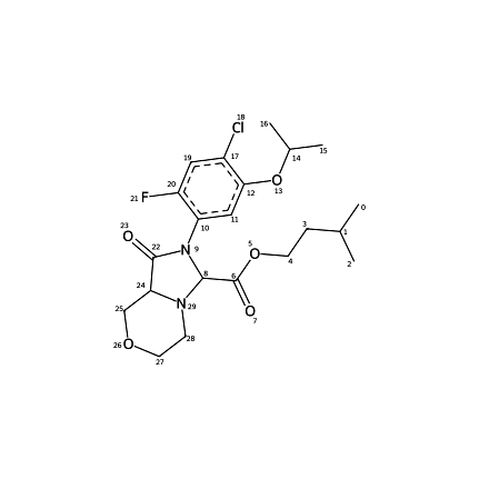 CC(C)CCOC(=O)C1N(c2cc(OC(C)C)c(Cl)cc2F)C(=O)C2COCCN21